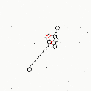 C[C@@H](C(=O)OCC(=O)[C@@]12O[C@H](C3CCCCC3)O[C@@H]1C[C@H]1[C@@H]3CCC4=CC(=O)C=C[C@]4(C)[C@H]3[C@@H](O)C[C@@]12C)[N+](C)(C)Cc1cc(C(O)CNCCCCCCOCCCCc2ccccc2)ccc1OP(=O)(O)O